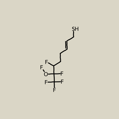 FOC(F)(C(F)CCC=CCS)C(F)(F)F